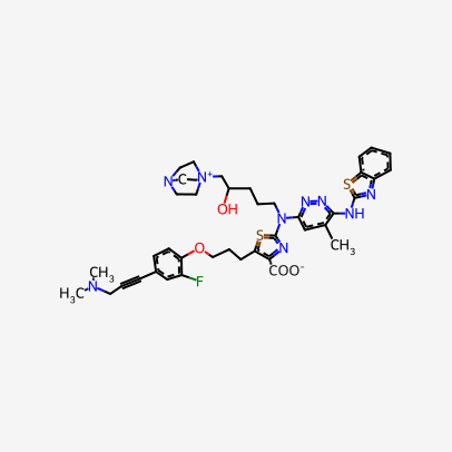 Cc1cc(N(CCCC(O)C[N+]23CCN(CC2)CC3)c2nc(C(=O)[O-])c(CCCOc3ccc(C#CCN(C)C)cc3F)s2)nnc1Nc1nc2ccccc2s1